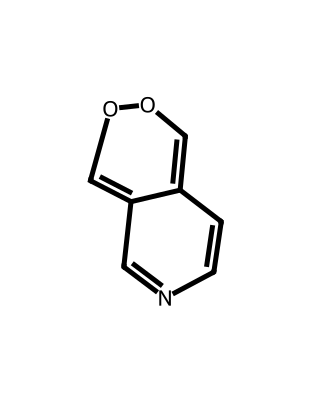 C1=c2ccncc2=COO1